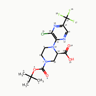 CC(C)(C)OC(=O)N1CCN(c2ncc(C(F)(F)F)nc2Cl)[C@@H](C(=O)O)C1